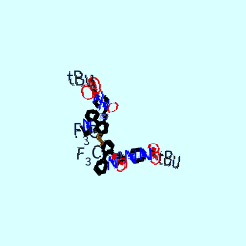 CC(C)(C)OC(=O)N1CCN(C(=O)/C=C/c2ccc(Sc3ccc(/C=C/C(=O)N4CCN(C(=O)OC(C)(C)C)CC4)c(-c4ccccc4N4CCC4)c3C(F)(F)F)c(C(F)(F)F)c2-c2ccccc2N2CCC2)CC1